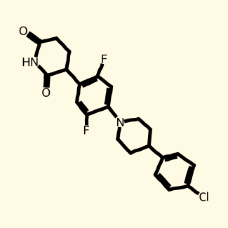 O=C1CCC(c2cc(F)c(N3CCC(c4ccc(Cl)cc4)CC3)cc2F)C(=O)N1